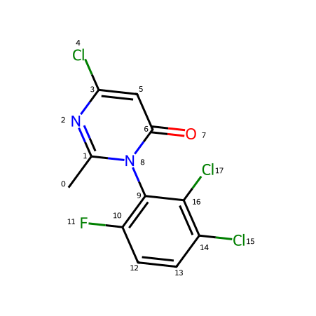 Cc1nc(Cl)cc(=O)n1-c1c(F)ccc(Cl)c1Cl